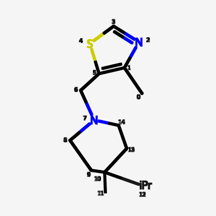 Cc1ncsc1CN1CCC(C)(C(C)C)CC1